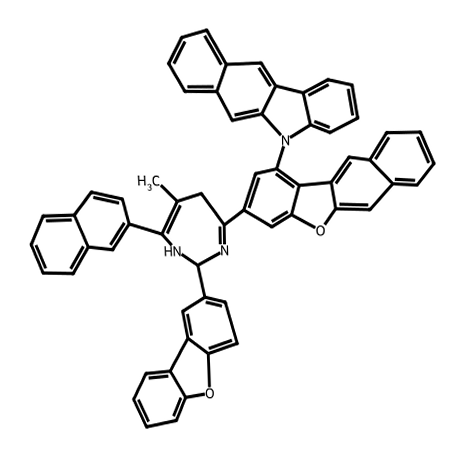 CC1=C(c2ccc3ccccc3c2)NC(c2ccc3oc4ccccc4c3c2)N=C(c2cc(-n3c4ccccc4c4cc5ccccc5cc43)c3c(c2)oc2cc4ccccc4cc23)C1